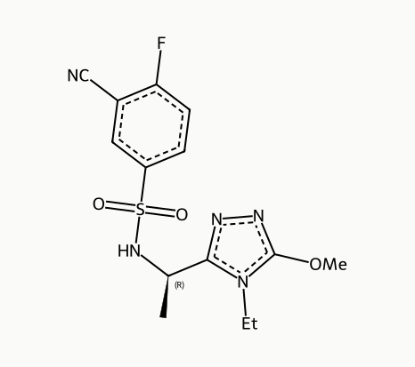 CCn1c(OC)nnc1[C@@H](C)NS(=O)(=O)c1ccc(F)c(C#N)c1